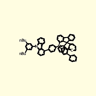 CCCCc1cc(CCCC)cc(-n2c3ccccc3c3c(-c4ccc(N(c5ccc(-c6ccccc6)cc5)c5cccc6c5C5(c7ccccc7-c7ccccc75)c5ccccc5-6)cc4)cccc32)c1